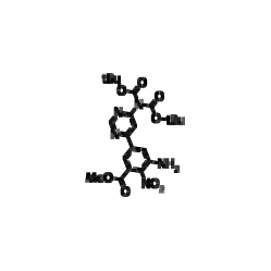 COC(=O)c1cc(-c2cc(N(C(=O)OC(C)(C)C)C(=O)OC(C)(C)C)ncn2)cc(N)c1[N+](=O)[O-]